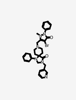 Cn1c(CN2CCC3(CC2)C(=O)N(Cc2cccnc2)CN3c2ccccc2)c(Br)c(=O)n1-c1ccccc1